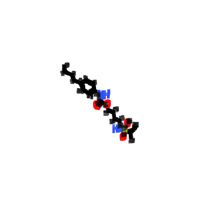 CCCCc1ccc(NC(=O)OCCCCNS(=O)(=O)C(C)C)cc1